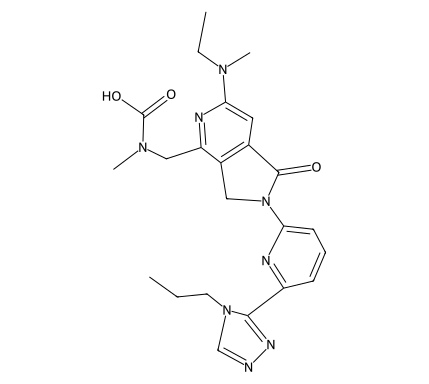 CCCn1cnnc1-c1cccc(N2Cc3c(cc(N(C)CC)nc3CN(C)C(=O)O)C2=O)n1